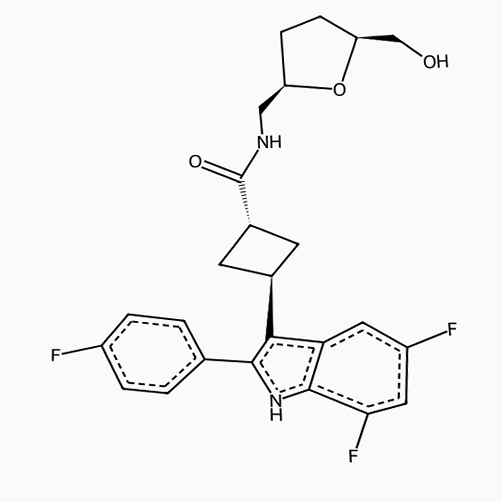 O=C(NC[C@H]1CC[C@@H](CO)O1)[C@H]1C[C@H](c2c(-c3ccc(F)cc3)[nH]c3c(F)cc(F)cc32)C1